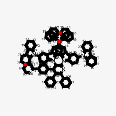 c1ccc(-c2nc(-n3c4ccc(-n5c6ccccc6c6ccccc65)cc4c4cc(-n5c6ccccc6c6ccccc65)ccc43)c(-n3c4ccc(-n5c6ccccc6c6ccccc65)cc4c4cc(-n5c6ccccc6c6ccccc65)ccc43)c(-c3ccc(-c4ccccn4)cc3)c2-c2ccccc2)cc1